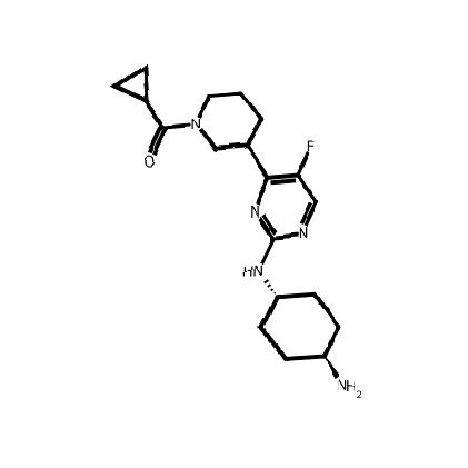 N[C@H]1CC[C@H](Nc2ncc(F)c(C3CCCN(C(=O)C4CC4)C3)n2)CC1